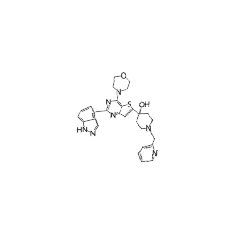 OC1(c2cc3nc(-c4cccc5[nH]ncc45)nc(N4CCOCC4)c3s2)CCN(Cc2ccccn2)CC1